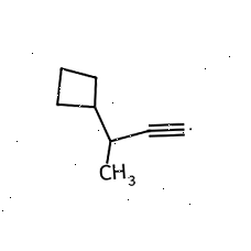 [C]#CC(C)C1CCC1